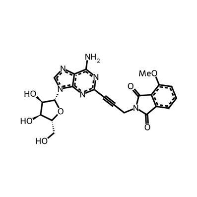 COc1cccc2c1C(=O)N(CC#Cc1nc(N)c3ncn([C@@H]4O[C@H](CO)[C@@H](O)[C@H]4O)c3n1)C2=O